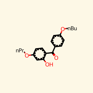 CCCCOc1ccc(C(=O)c2ccc(OCCC)cc2O)cc1